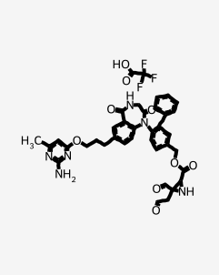 Cc1cc(OCCCc2ccc3c(c2)C(=O)NCC(=O)N3c2ccc(COC(=O)C3NC3(C=O)CC=O)cc2-c2ccccc2)nc(N)n1.O=C(O)C(F)(F)F